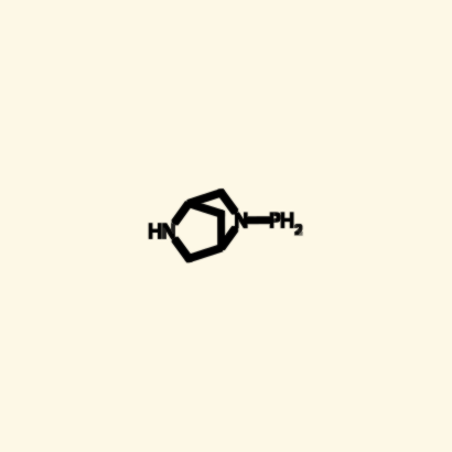 PN1CC2CC1CN2